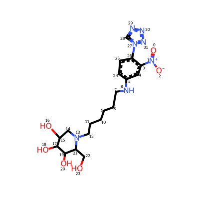 O=[N+]([O-])c1cc(NCCCCCCN2CC(O)C(O)C(O)C2CO)ccc1-n1cnnn1